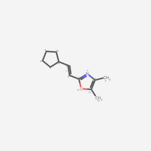 Cc1nc(/C=C/C2CCCC2)oc1C